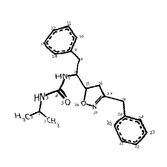 CC(C)NC(=O)NC(Cc1ccccc1)C1CC(Cc2ccccc2)=NO1